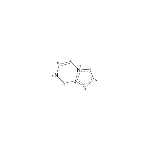 C1=Cn2cccc2C[N]1